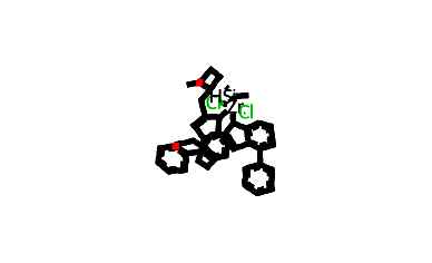 CCC1(CC2=Cc3c(-c4ccccc4)cccc3[CH]2[Zr]([Cl])([Cl])([CH]2C(CC3(CC)CCC3)=Cc3c(-c4ccccc4)cccc32)[SiH](C)C)CCC1